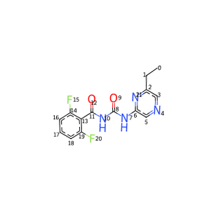 CCc1cncc(NC(=O)NC(=O)c2c(F)cccc2F)n1